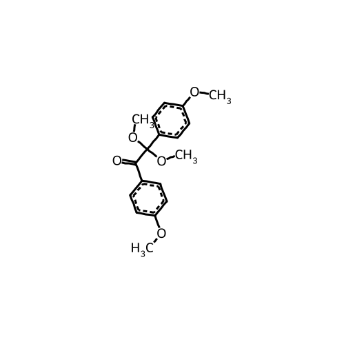 COc1ccc(C(=O)C(OC)(OC)c2ccc(OC)cc2)cc1